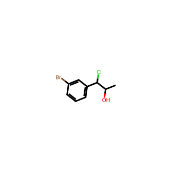 CC(O)C(Cl)c1cccc(Br)c1